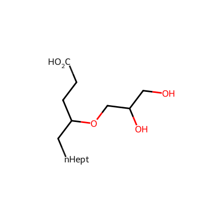 CCCCCCCCC(CCC(=O)O)OCC(O)CO